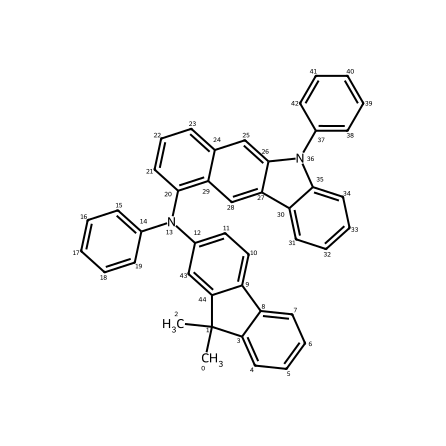 CC1(C)c2ccccc2-c2ccc(N(c3ccccc3)c3cccc4cc5c(cc34)c3ccccc3n5-c3ccccc3)cc21